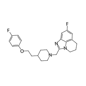 Fc1ccc(OCCC2CCN(Cc3nc4cc(F)cc5c4n3CCC5)CC2)cc1